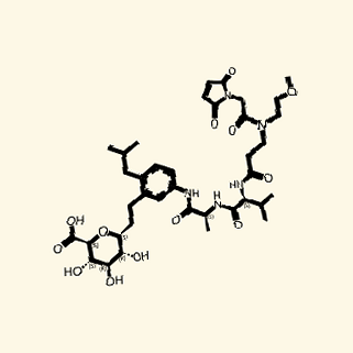 COCCN(CCC(=O)N[C@H](C(=O)N[C@@H](C)C(=O)Nc1ccc(CC(C)C)c(CC[C@@H]2O[C@H](C(=O)O)[C@@H](O)[C@H](O)[C@H]2O)c1)C(C)C)C(=O)CN1C(=O)C=CC1=O